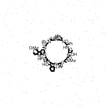 CNC1C(=O)N(C)C(C(C)O)C(=O)NC(C(C)C)C(=O)N(C)C(CC(C)C)C(=O)NC(C(C)C)C(=O)N(C)C(C(C)C)C(=O)N(C)C(Cc2c[nH]c3cccc(OC)c23)C(=O)NC(C(C)C)C(=O)NC(C(O)c2ccccc2)C(=O)NC(C(C)C)C(=O)OC1C